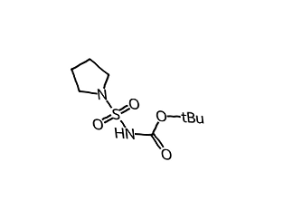 CC(C)(C)OC(=O)NS(=O)(=O)N1CCCC1